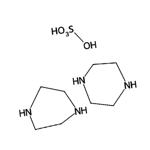 C1CNCCN1.C1CNCCN1.O=S(=O)(O)O